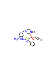 CCOC(=O)c1sc(Nc2cc(CN3CCN(C)CC3)ccc2N)nc1-c1ccccc1